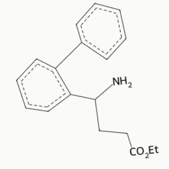 CCOC(=O)CCC(N)c1ccccc1-c1ccccc1